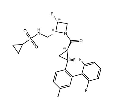 O=C([C@@H]1C[C@@]1(F)c1ccc(F)cc1-c1c(F)cccc1F)N1C[C@@H](F)[C@H]1CNS(=O)(=O)C1CC1